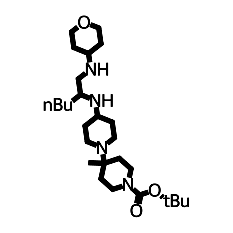 CCCCC(CNC1CCOCC1)NC1CCN(C2(C)CCN(C(=O)OC(C)(C)C)CC2)CC1